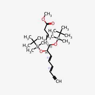 C#C/C=C/C=C/[C@@H](O[Si](C)(C)C(C)(C)C)[C@H](CCCC(=O)OC)O[Si](C)(C)C(C)(C)C